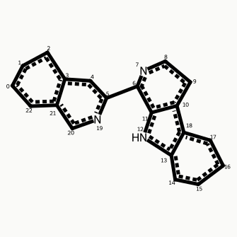 c1ccc2cc(-c3nccc4c3[nH]c3ccccc34)ncc2c1